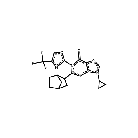 O=c1c2ncn(C3CC3)c2nc(C2CC3CCC2C3)n1-c1nc(C(F)(F)F)co1